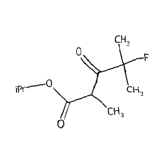 CC(C)OC(=O)C(C)C(=O)C(C)(C)F